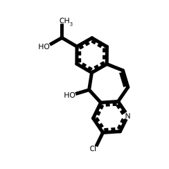 CC(O)c1ccc2c(c1)C(O)c1cc(Cl)cnc1C=C2